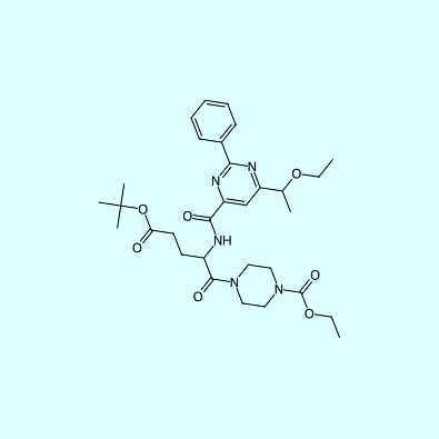 CCOC(=O)N1CCN(C(=O)C(CCC(=O)OC(C)(C)C)NC(=O)c2cc(C(C)OCC)nc(-c3ccccc3)n2)CC1